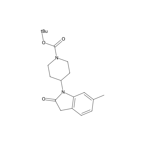 Cc1ccc2c(c1)N(C1CCN(C(=O)OC(C)(C)C)CC1)C(=O)C2